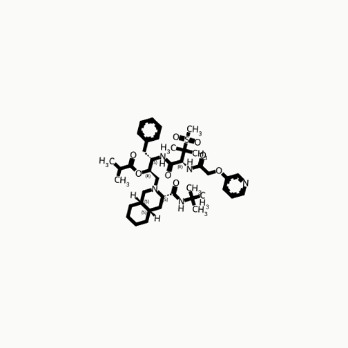 CC(C)C(=O)O[C@H](CN1C[C@H]2CCCC[C@H]2C[C@H]1C(=O)NC(C)(C)C)[C@H](Cc1ccccc1)NC(=O)[C@@H](NC(=O)COc1cccnc1)C(C)(C)S(C)(=O)=O